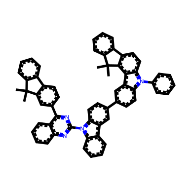 CC1(C)c2ccccc2-c2ccc(-c3nc(-n4c5ccccc5c5cc(-c6ccc7c(c6)c6c8c(ccc6n7-c6ccccc6)-c6ccccc6C8(C)C)ccc54)nc4ccccc34)cc21